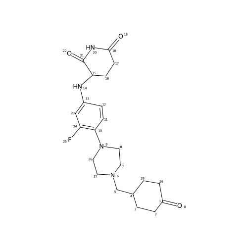 O=C1CCC(CN2CCN(c3ccc(NC4CCC(=O)NC4=O)cc3F)CC2)CC1